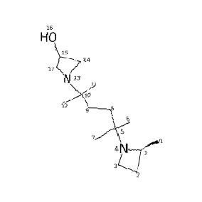 C[C@H]1CCN1C(C)(C)CCC(C)(C)N1CC(O)C1